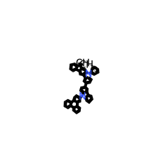 CC1(C)c2ccccc2-c2cc3c4cc(-c5ccc6c(c5)c5ccccc5n6-c5ccc6c7ccccc7c7ccccc7c6c5)ccc4n(-c4ccccc4)c3cc21